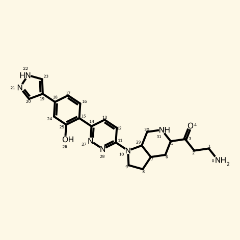 NCCC(=O)C1CC2CCN(c3ccc(-c4ccc(-c5cn[nH]c5)cc4O)nn3)C2CN1